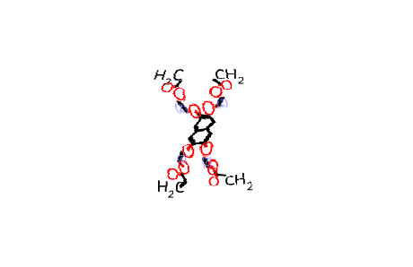 C=CC(=O)O/C=C\Oc1cc2cc(O/C=C\OC(=O)C=C)c(O/C=C\OC(=O)C=C)cc2cc1O/C=C\OC(=O)C=C